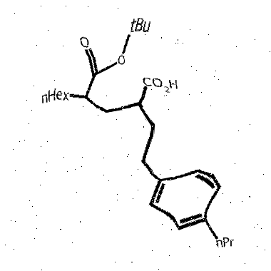 CCCCCCC(CC(CCc1ccc(CCC)cc1)C(=O)O)C(=O)OC(C)(C)C